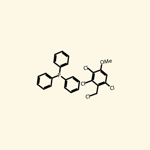 COc1cc(Cl)c(CCl)c(Cl)c1Cl.c1ccc(P(c2ccccc2)c2ccccc2)cc1